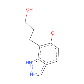 OCCCc1c(O)ccc2cn[nH]c12